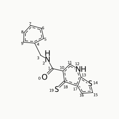 O=C(NCc1ccccc1)c1c[nH]c2sccc2c1=S